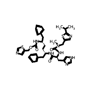 CC(C)c1ncc(CN(C)C(=O)N[C@@H](Cc2c[nH]cn2)C(=O)N[C@@H](CC[C@@H](Cc2ccccc2)NC(=O)OCc2cncs2)Cc2ccccc2)s1